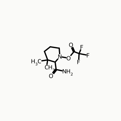 CC1(C)CCCN(OC(=O)C(F)(F)F)C1C(N)=O